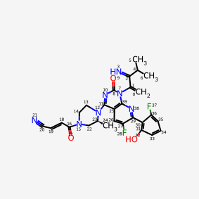 C=C(C(=N)C(C)C)n1c(=O)nc(N2CCN(C(=O)/C=C/C#N)C[C@@H]2C)c2cc(F)c(-c3c(O)cccc3F)nc21